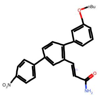 CCCCOc1cccc(-c2ccc(-c3ccc([N+](=O)[O-])cc3)cc2/C=C/C(N)=O)c1